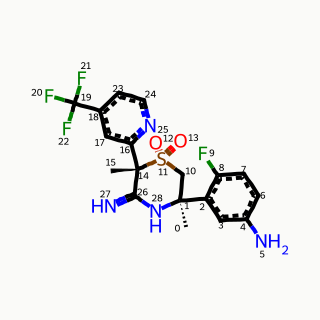 C[C@@]1(c2cc(N)ccc2F)CS(=O)(=O)[C@@](C)(c2cc(C(F)(F)F)ccn2)C(=N)N1